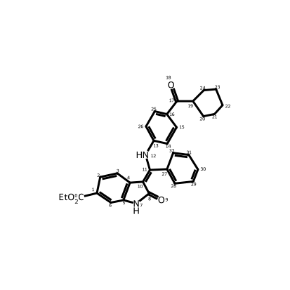 CCOC(=O)c1ccc2c(c1)NC(=O)C2=C(Nc1ccc(C(=O)C2CCCCC2)cc1)c1ccccc1